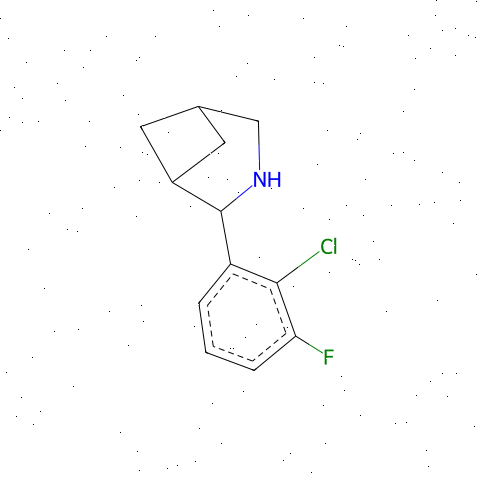 Fc1cccc(C2NCC3CC2C3)c1Cl